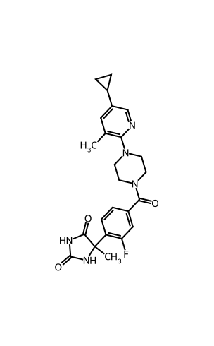 Cc1cc(C2CC2)cnc1N1CCN(C(=O)c2ccc(C3(C)NC(=O)NC3=O)c(F)c2)CC1